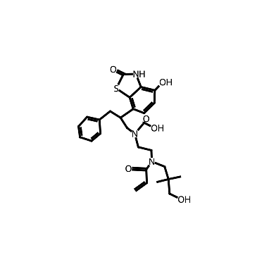 C=CC(=O)N(CCN(CC(Cc1ccccc1)c1ccc(O)c2[nH]c(=O)sc12)C(=O)O)CC(C)(C)CO